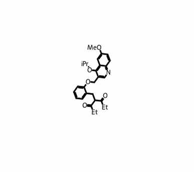 CCC(=O)C(Cc1ccccc1OCc1cnc2ccc(OC)cc2c1OC(C)C)C(=O)CC